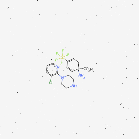 Clc1cccnc1N1CCNCC1.NC1(C(=O)O)C=CC(S(F)(F)(F)(F)F)=CC1